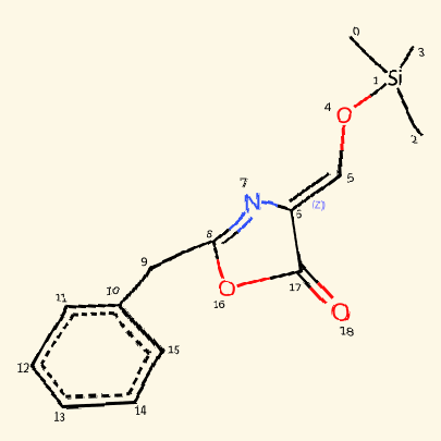 C[Si](C)(C)O/C=C1\N=C(Cc2ccccc2)OC1=O